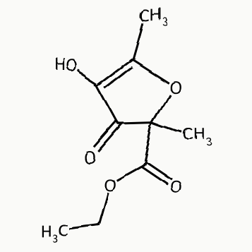 CCOC(=O)C1(C)OC(C)=C(O)C1=O